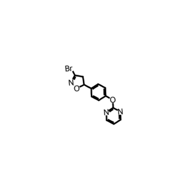 BrC1=NOC(c2ccc(Oc3ncccn3)cc2)C1